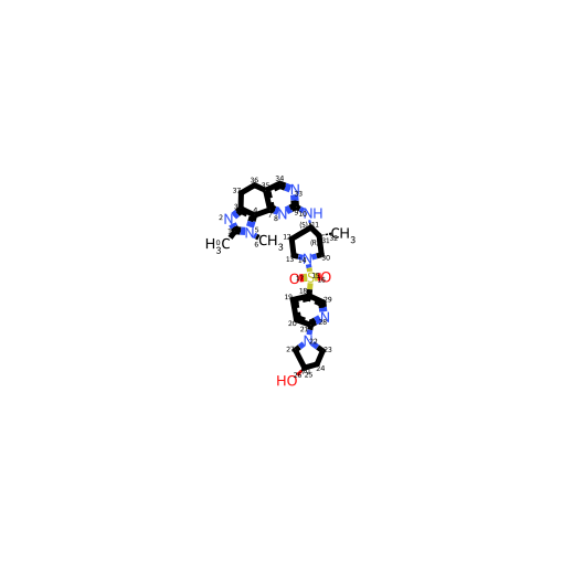 Cc1nc2c(n1C)-c1nc(N[C@H]3CCN(S(=O)(=O)c4ccc(N5CC[C@@H](O)C5)nc4)C[C@H]3C)ncc1CC2